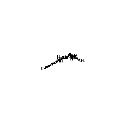 COCCNC(=O)/C(C#N)=C/c1ccc(-c2ccc(N(C)CCOC(=O)NCCOCCOCCCCCCCl)s2)s1